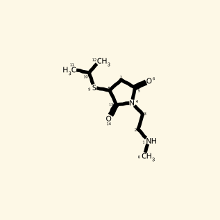 CNCCN1C(=O)CC(SC(C)C)C1=O